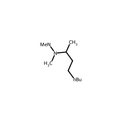 CCCCCCC(C)N(C)NC